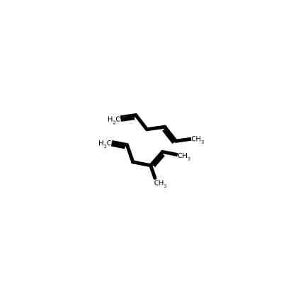 C=CCC(C)=CC.C=CCC=CC